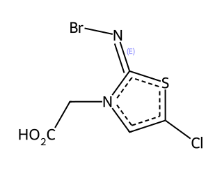 O=C(O)Cn1cc(Cl)s/c1=N/Br